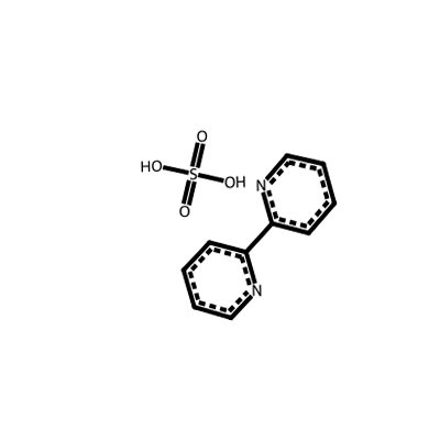 O=S(=O)(O)O.c1ccc(-c2ccccn2)nc1